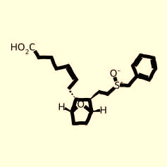 O=C(O)CCC/C=C\C[C@@H]1[C@@H](CC[S+]([O-])Cc2ccccc2)[C@@H]2CC[C@H]1O2